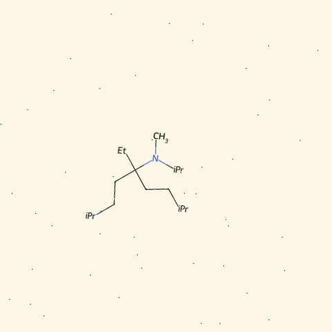 CCC(CCC(C)C)(CCC(C)C)N(C)C(C)C